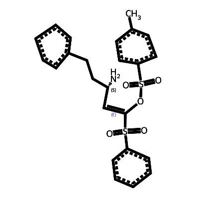 Cc1ccc(S(=O)(=O)O/C(=C\[C@@H](N)CCc2ccccc2)S(=O)(=O)c2ccccc2)cc1